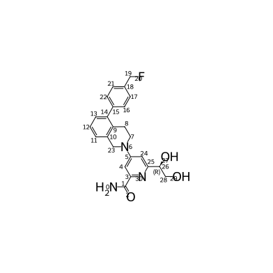 NC(=O)c1cc(N2CCc3c(cccc3-c3ccc(CF)cc3)C2)cc([C@@H](O)CO)n1